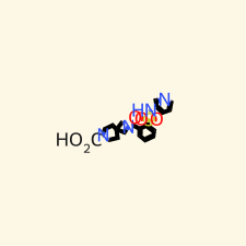 O=C(O)N1CCC2(CC1)CN(C(=O)c1ccccc1S(=O)(=O)Nc1cccnc1)C2